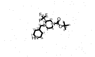 CC(C)(C)OC(=O)N1CCN(CC2CCNCC2)[C@@H](C(F)(F)F)C1